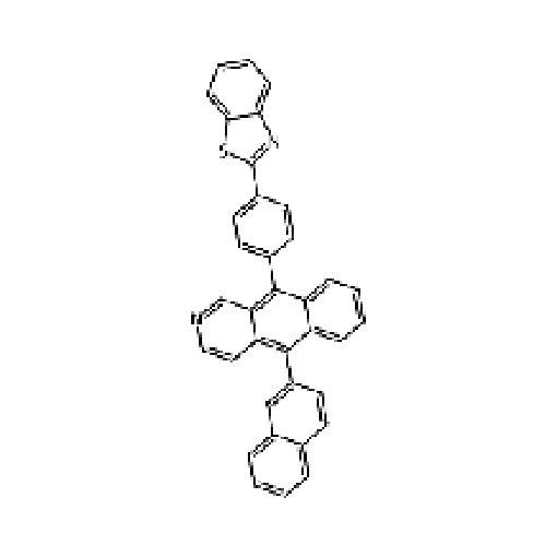 c1ccc2cc(-c3c4ccccc4c(-c4ccc(-c5nc6ccccc6s5)cc4)c4cnccc34)ccc2c1